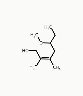 CCC(CC(C)=C(C)CO)OC